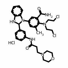 Cc1cc(N2c3ccccc3NC2c2cccc(NC(=O)CCN3CCOCC3)c2)cc(C(N)=O)c1N(CCCl)CCCl.Cl